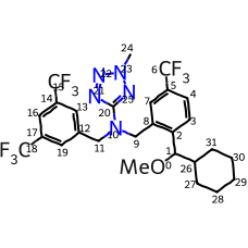 COC(c1ccc(C(F)(F)F)cc1CN(Cc1cc(C(F)(F)F)cc(C(F)(F)F)c1)c1nnn(C)n1)C1CCCCC1